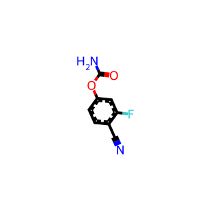 N#Cc1ccc(OC(N)=O)cc1F